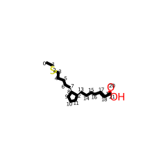 CCSCCCCC[C@H]1CCC[C@@H]1CCCCC=CC(=O)O